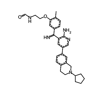 Cc1ccc(C(=N)c2cc(-c3ccc4c(c3)CN(C3CCCC3)CC4)cnc2N)cc1OCCNC=O